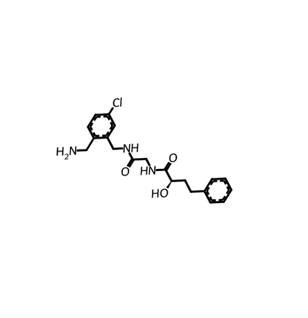 NCc1ccc(Cl)cc1CNC(=O)CNC(=O)[C@H](O)CCc1ccccc1